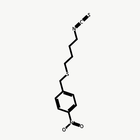 O=[N+]([O-])c1ccc(CSCCCCN=C=S)cc1